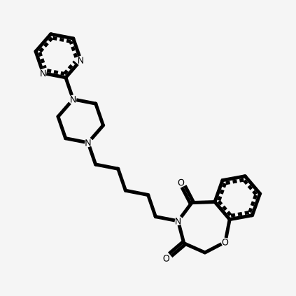 O=C1COc2ccccc2C(=O)N1CCCCCN1CCN(c2ncccn2)CC1